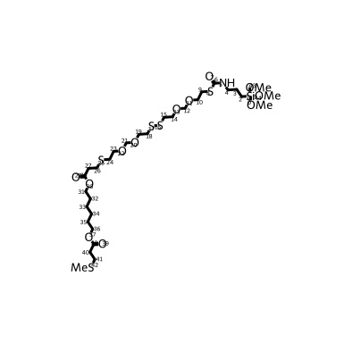 CO[Si](CCCNC(=O)SCCOCOCCSSCCOCOCCSCCC(=O)OCCCCCCOC(=O)CCSC)(OC)OC